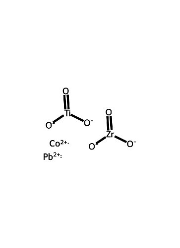 [Co+2].[O]=[Ti]([O-])[O-].[O]=[Zr]([O-])[O-].[Pb+2]